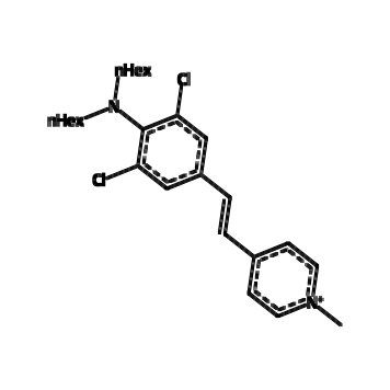 CCCCCCN(CCCCCC)c1c(Cl)cc(C=Cc2cc[n+](C)cc2)cc1Cl